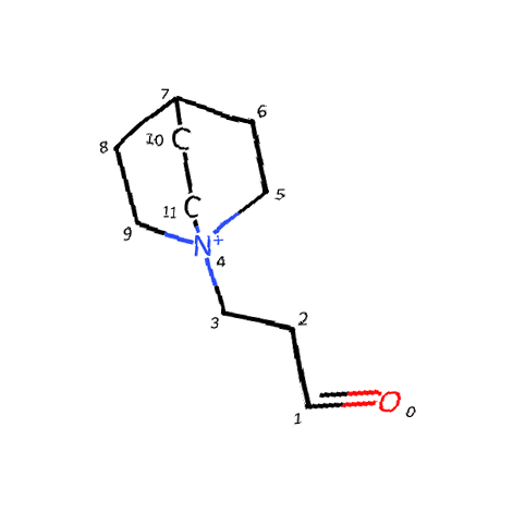 O=CCC[N+]12CCC(CC1)CC2